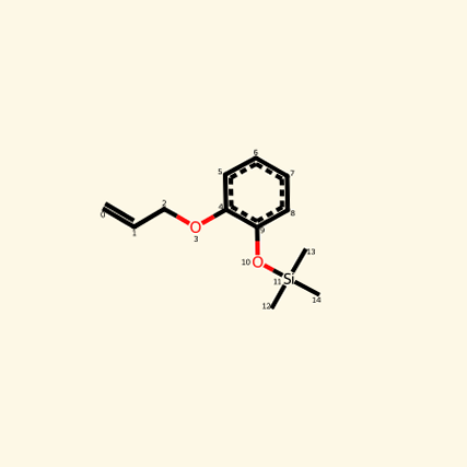 C=CCOc1ccccc1O[Si](C)(C)C